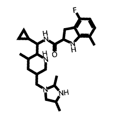 Cc1ccc(F)c2c1NC(C(=O)NC(C1CC1)C1NCC(CN3CC(C)NC3C)CC1C)C2